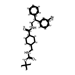 CC(C)(C)OC(=O)NCC1CCC(C(=O)NC[C@@H](c2ccccc2)c2cccc(Br)c2)CC1